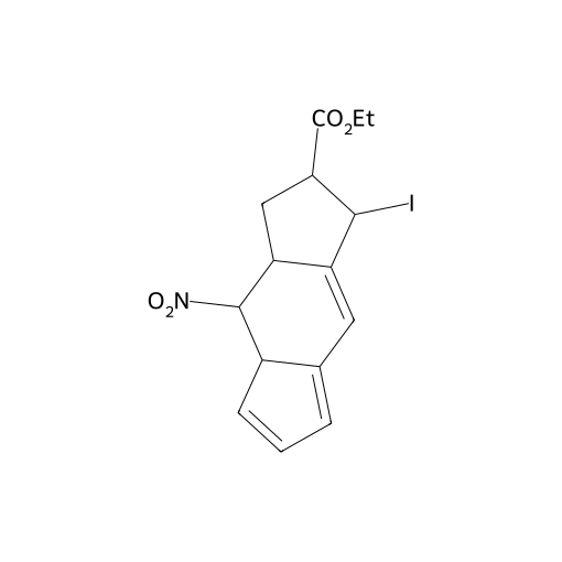 CCOC(=O)C1CC2C(=CC3=CC=CC3C2[N+](=O)[O-])C1I